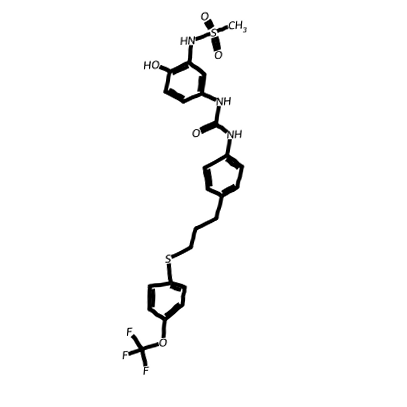 CS(=O)(=O)Nc1cc(NC(=O)Nc2ccc(CCCSc3ccc(OC(F)(F)F)cc3)cc2)ccc1O